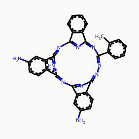 Cc1ccccc1C1=N/N=C2N=C(/N=c3\[nH]/c(c4cc(N)ccc34)=N\C3=NC(=N\1)/c1ccccc13)c1cc(N)ccc1\2